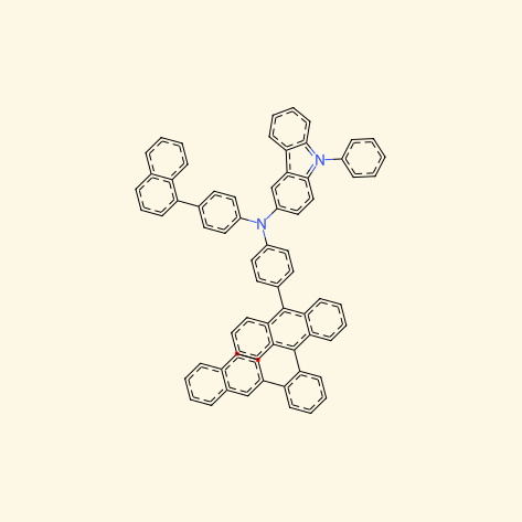 c1ccc(-n2c3ccccc3c3cc(N(c4ccc(-c5cccc6ccccc56)cc4)c4ccc(-c5c6ccccc6c(-c6ccccc6-c6ccc7ccccc7c6)c6ccccc56)cc4)ccc32)cc1